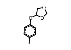 Cc1ccc(OC2COCO2)cc1